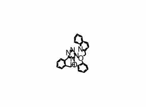 c1ccc(-c2nnn[nH]2)c(COc2ccccc2OCc2ccc3ccccc3n2)c1